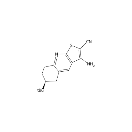 CC(C)(C)[C@H]1CCc2nc3sc(C#N)c(N)c3cc2C1